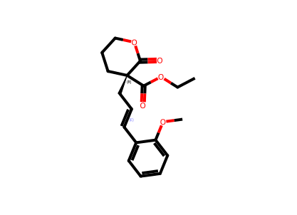 CCOC(=O)[C@]1(C/C=C/c2ccccc2OC)CCCOC1=O